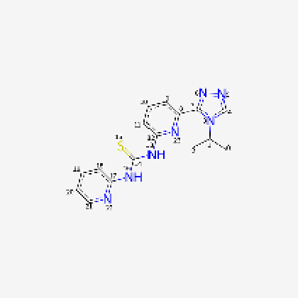 CC(C)n1cnnc1-c1cccc(NC(=S)Nc2ccccn2)n1